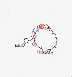 COC1CCCC(C[C@@H](C)[C@@H]2CC(=O)[C@H](C)/C=C(\C)C(O)[C@@H](OC)C(=O)C(C)C[C@H](C)/C=C/C=C/C=C(\C)CC[C@@H]3CCC(C)C(O)(O3)C(=O)C(=O)N3CCCCC3C(=O)O2)C1